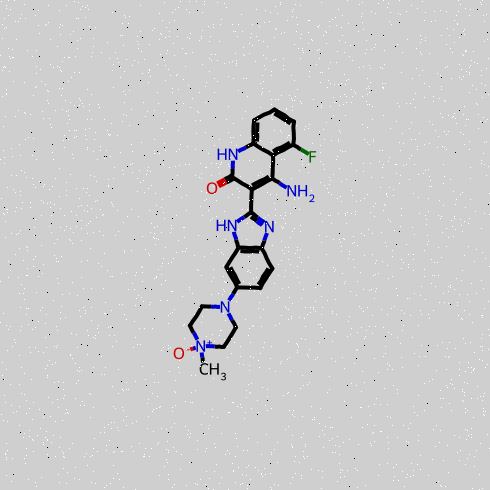 C[N+]1([O-])CCN(c2ccc3nc(-c4c(N)c5c(F)cccc5[nH]c4=O)[nH]c3c2)CC1